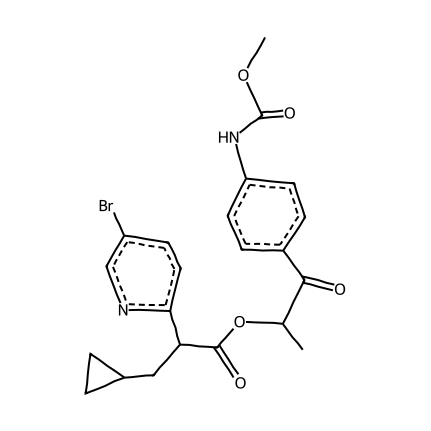 COC(=O)Nc1ccc(C(=O)C(C)OC(=O)C(CC2CC2)c2ccc(Br)cn2)cc1